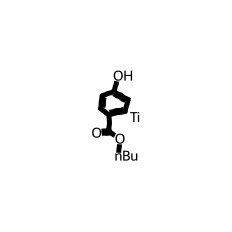 CCCCOC(=O)c1ccc(O)cc1.[Ti]